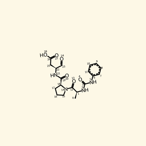 C[C@H](NC(=O)Nc1ccccc1)C(=O)N1CCC[C@H]1C(=O)N[C@H](C=O)CC(=O)O